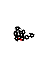 Cc1ccccc1C1=CC2C(C=C1)c1ccc(-c3ccccc3C)cc1N2c1cccc2c1C(=O)N(c1c(-c3ccccc3)cccc1-c1ccccc1)C2=O